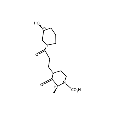 C[C@H]1C(=O)N(CCC(=O)N2CCC[C@H](O)C2)CCN1C(=O)O